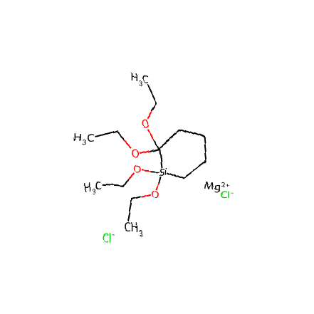 CCOC1(OCC)CCCC[Si]1(OCC)OCC.[Cl-].[Cl-].[Mg+2]